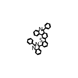 c1ccc(-c2nc(-c3cccc4c3sc3c4ccc4c(-c5ccccc5)nc5ccccc5c43)c3ccccc3n2)cc1